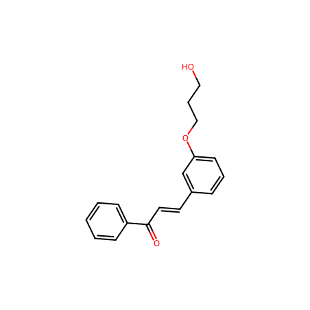 O=C(/C=C/c1cccc(OCCCO)c1)c1ccccc1